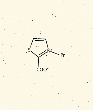 CC(C)[n+]1ccsc1C(=O)[O-]